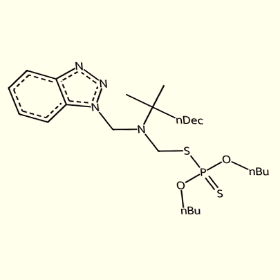 CCCCCCCCCCC(C)(C)N(CSP(=S)(OCCCC)OCCCC)Cn1nnc2ccccc21